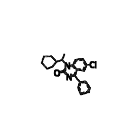 CC(C1CCCCC1)n1c(=O)nc(-c2ccccc2)c2cc(Cl)ccc21